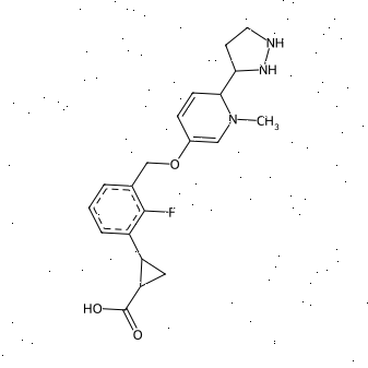 CN1C=C(OCc2cccc(C3CC3C(=O)O)c2F)C=CC1C1CCNN1